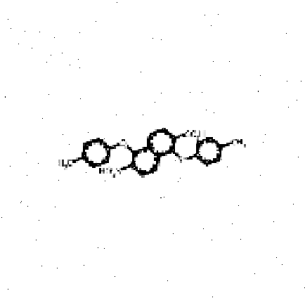 Cc1ccc(Oc2c(S(=O)(=O)O)ccc3c(Oc4ccc(C)cc4)c(S(=O)(=O)O)ccc23)cc1